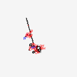 CCCCCCCCCCCCCCCC(=O)OC[C@@H](COP(=O)(O)OCC[N+](C)(C)C)OC(=O)CCCCCCCC(=O)O[C@@H](C(=O)OC1C[C@@]2(O)[C@@H](OC(=O)c3ccccc3)[C@@H]3[C@]4(OC(C)=O)CO[C@@H]4C[C@H](O)[C@@]3(C)C(=O)[C@H](O)C(=C1C)C2(C)C)[C@@H](NC(=O)OC(C)(C)C)c1ccccc1